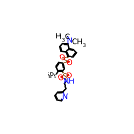 CC(C)c1ccc(S(=O)(=O)c2cccc3c(N(C)C)cccc23)cc1S(=O)(=O)NCCc1ccccn1